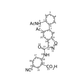 CC(=O)Nc1ccccc1-c1cc2onc(C(=O)Nc3ccc(C#N)cc3C(=O)O)c2cc1C(C)=O